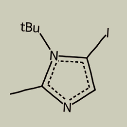 Cc1ncc(I)n1C(C)(C)C